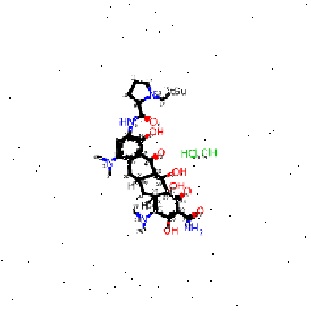 CN(C)c1cc(NC(=O)C2CCCN2CC(C)(C)C)c(O)c2c1C[C@H]1C[C@H]3[C@H](N(C)C)C(O)=C(C(N)=O)C(=O)[C@@]3(O)C(O)=C1C2=O.Cl.Cl